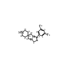 Fc1cc(F)cc([C@H]2CCN3CC4(CCNCC4)CN23)c1